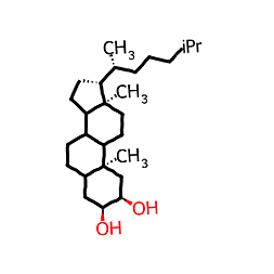 CC(C)CCC[C@@H](C)[C@H]1CCC2C3CCC4C[C@H](O)[C@H](O)C[C@]4(C)C3CC[C@@]21C